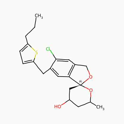 CCCc1ccc(Cc2cc3c(cc2Cl)CO[C@@]32CC(O)CC(C)O2)s1